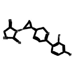 O=C1CNC(=O)N1[C@@H]1C[C@H]1C1C=CC(c2ccc(F)cc2F)=NC1